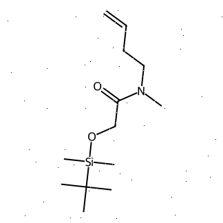 C=CCCN(C)C(=O)CO[Si](C)(C)C(C)(C)C